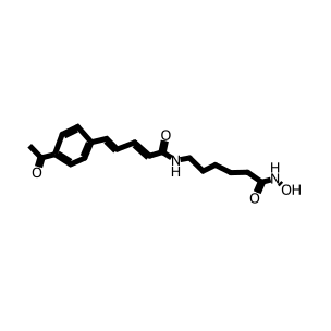 CC(=O)c1ccc(/C=C/C=C/C(=O)NCCCCCC(=O)NO)cc1